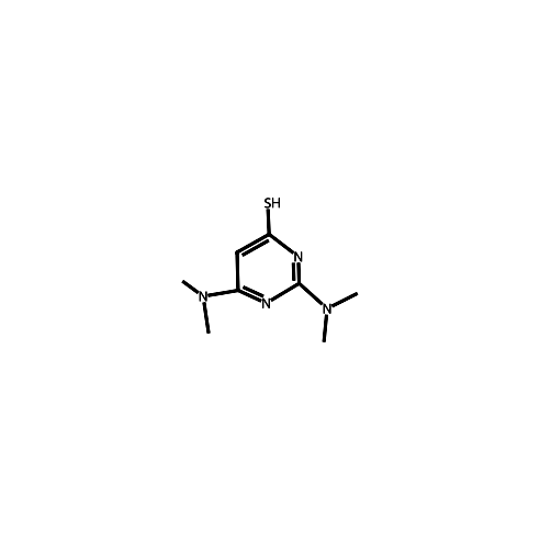 CN(C)c1cc(S)nc(N(C)C)n1